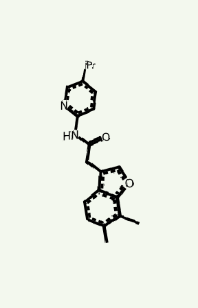 Cc1ccc2c(CC(=O)Nc3ccc(C(C)C)cn3)coc2c1C